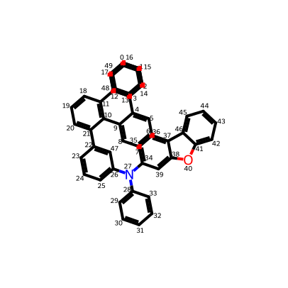 c1ccc(-c2ccccc2-c2c(-c3ccccc3)cccc2-c2cccc(N(c3ccccc3)c3ccc4c(c3)oc3ccccc34)c2)cc1